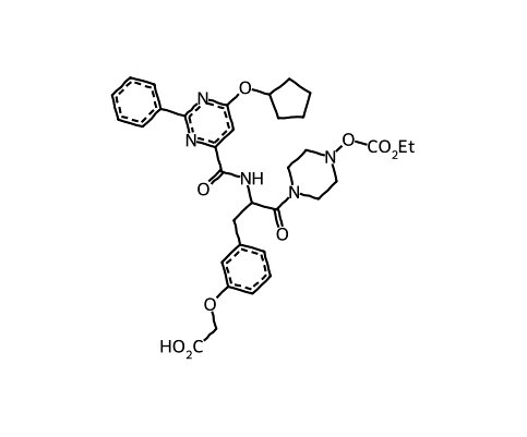 CCOC(=O)ON1CCN(C(=O)C(Cc2cccc(OCC(=O)O)c2)NC(=O)c2cc(OC3CCCC3)nc(-c3ccccc3)n2)CC1